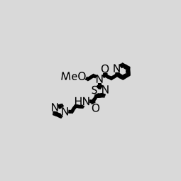 COCCN(C(=O)Cc1ccccn1)c1ncc(C(=O)NCCCn2ccnc2)s1